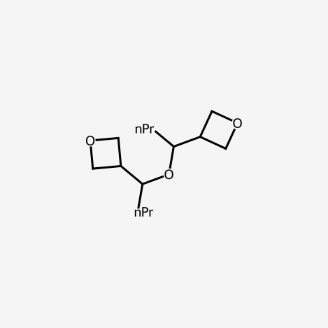 CCCC(OC(CCC)C1COC1)C1COC1